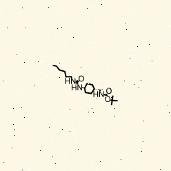 CCCCCCNC(=O)N[C@H]1CC[C@H]([CH]NC(=O)OC(C)(C)C)CC1